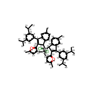 Cc1ccc2c(c1)C(c1cc(C(C)C)cc(C(C)C)c1)=C(c1ccc(C)o1)[CH]2[Zr]([Cl])([Cl])([CH]1C(c2ccc(C)o2)=C(c2cc(C(C)C)cc(C(C)C)c2)c2cc(C)ccc21)=[Si](C)C